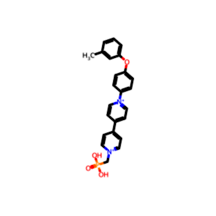 Cc1cccc(Oc2ccc(-[n+]3ccc(-c4cc[n+](CP(=O)(O)O)cc4)cc3)cc2)c1